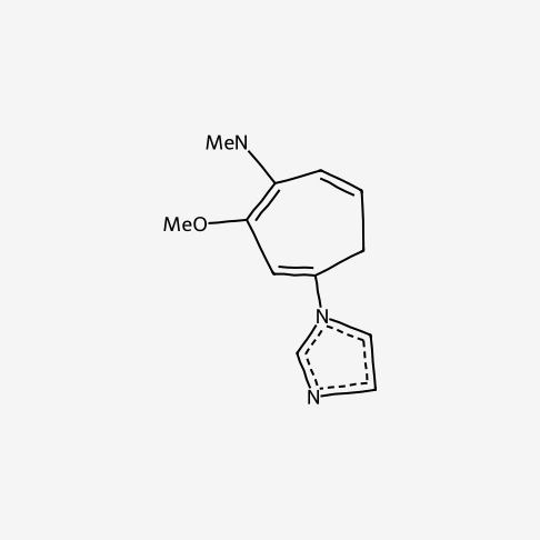 CNC1=C(OC)C=C(n2ccnc2)CC=C1